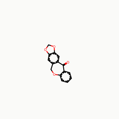 O=C1c2cc3c(cc2COc2ccccc21)OCO3